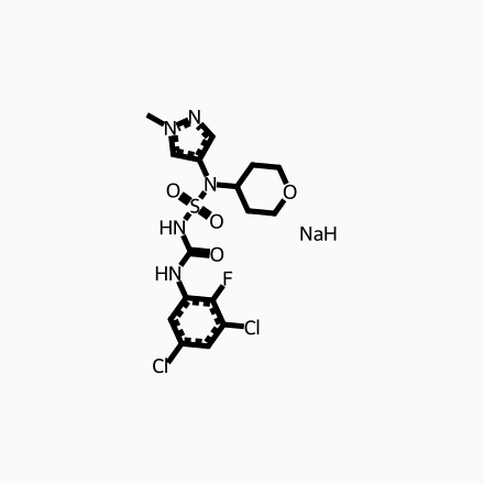 Cn1cc(N(C2CCOCC2)S(=O)(=O)NC(=O)Nc2cc(Cl)cc(Cl)c2F)cn1.[NaH]